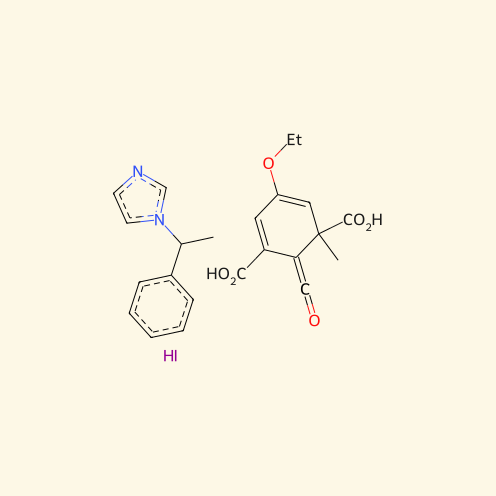 CC(c1ccccc1)n1ccnc1.CCOC1=CC(C)(C(=O)O)C(=C=O)C(C(=O)O)=C1.I